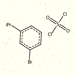 CC(C)c1cccc(Br)c1.O=S(=O)(Cl)Cl